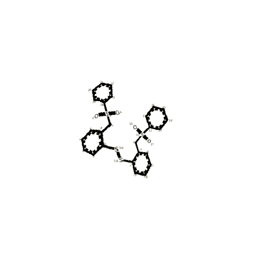 O=S(=O)(Cc1ccccc1SSc1ccccc1CS(=O)(=O)c1ccccc1)c1ccccc1